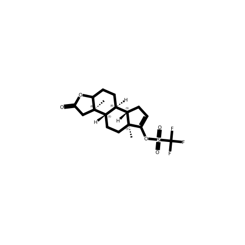 C[C@]12CC(=O)OC1CC[C@@H]1[C@@H]2CC[C@]2(C)C(OS(=O)(=O)C(F)(F)F)=CC[C@@H]12